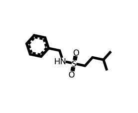 CC(C)CCS(=O)(=O)NCc1ccccc1